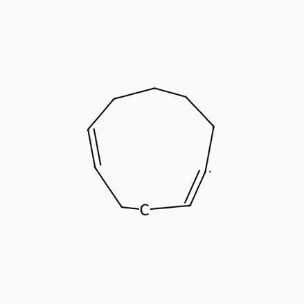 [C]1=CCCC=CCCCC1